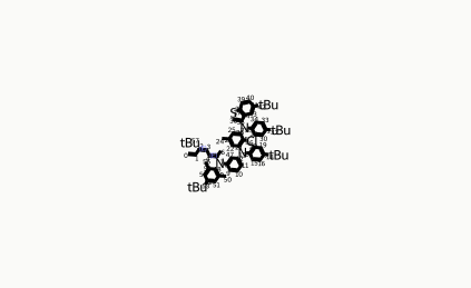 C=C/C(=C\C=C(/C)N(c1cccc(N(c2ccc(C(C)(C)C)cc2)c2cc(C)cc(N(c3ccc(C(C)(C)C)cc3)c3csc4ccc(C(C)(C)C)cc34)c2Cl)c1)c1c(C)cc(C(C)(C)C)cc1C)C(C)(C)C